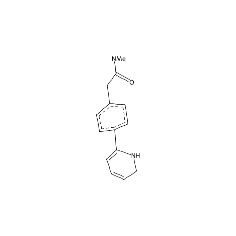 CNC(=O)Cc1ccc(C2=CC=CCN2)cc1